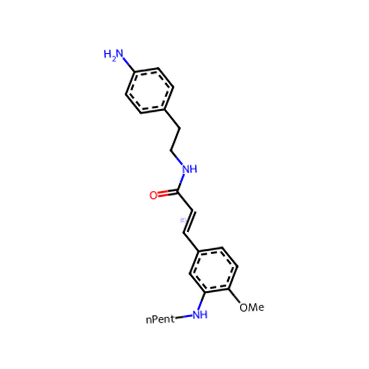 CCCCCNc1cc(/C=C/C(=O)NCCc2ccc(N)cc2)ccc1OC